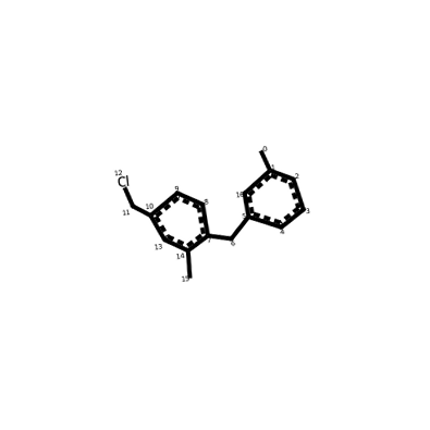 Cc1cccc(Cc2ccc(CCl)cc2C)c1